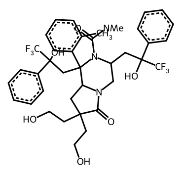 CNC(=O)N1C(CC(O)(c2ccccc2)C(F)(F)F)CN2C(=O)C(CCO)(CCO)CC2C1(CC(O)(c1ccccc1)C(F)(F)F)c1ccccc1C